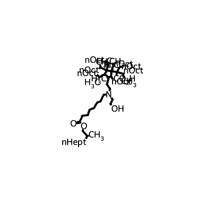 CCCCCCCCC(C)C(CCCN(CCO)CCCCCCCC(=O)OCC(C)CCCCCCC)C(C(C)CCCCCCCC)(C(C)CCCCCCCC)C(C(C)CCCCCCCC)(C(C)CCCCCCCC)C(C(=O)O)(C(C)CCCCCCCC)C(C)CCCCCCCC